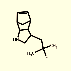 CC(C)(F)CC1CNC2C3C=CC(C3)C12